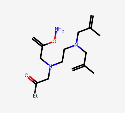 C=C(C)CN(CCN(CC(=C)ON)CC(=O)CC)CC(=C)C